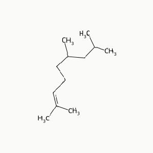 CC(C)=CCCC(C)CC(C)C